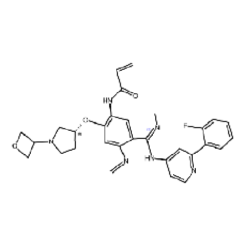 C=CC(=O)Nc1cc(/C(=N\C)Nc2ccnc(-c3ccccc3F)c2)c(N=C)cc1O[C@@H]1CCN(C2COC2)C1